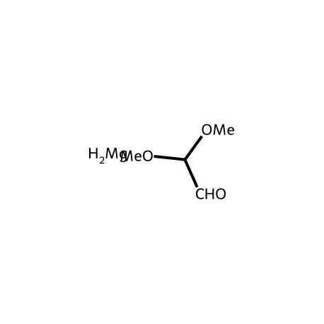 COC(C=O)OC.[MgH2]